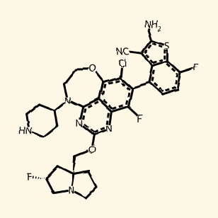 N#Cc1c(N)sc2c(F)ccc(-c3c(Cl)c4c5c(nc(OC[C@@]67CCCN6C[C@H](F)C7)nc5c3F)N(C3CCNCC3)CCO4)c12